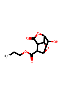 CCCOC(=O)C1C2OC3C(OC(=O)C31)C2O